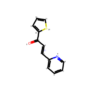 O=C(/C=C/c1ccccn1)c1cccs1